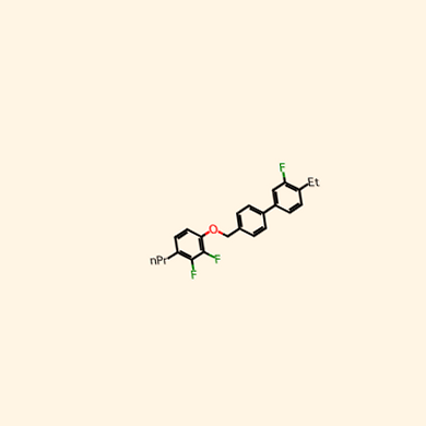 CCCc1ccc(OCc2ccc(-c3ccc(CC)c(F)c3)cc2)c(F)c1F